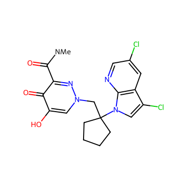 CNC(=O)c1nn(CC2(n3cc(Cl)c4cc(Cl)cnc43)CCCC2)cc(O)c1=O